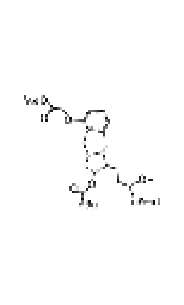 CCCCCC(O)CCC1C(OC(=O)CCCC)CC2Cc3c(cccc3OCC(=O)OC)CC21